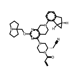 C=CC(=O)N1CCN(c2nc(OCC34CCCN3CCC4)nc3c2CCN(c2cccc4c2[C@H]2C[C@H]2C4)C3)C[C@@H]1CC#N